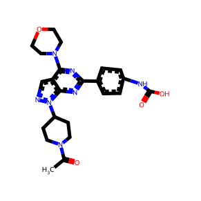 CC(=O)N1CCC(n2ncc3c(N4CCOCC4)nc(-c4ccc(NC(=O)O)cc4)nc32)CC1